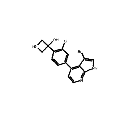 OC1(c2ccc(-c3ccnc4[nH]cc(Br)c34)cc2Cl)CNC1